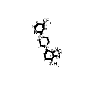 Nc1ccc(N2CCN(c3cc(C(F)(F)F)ccn3)CC2)c2nonc12